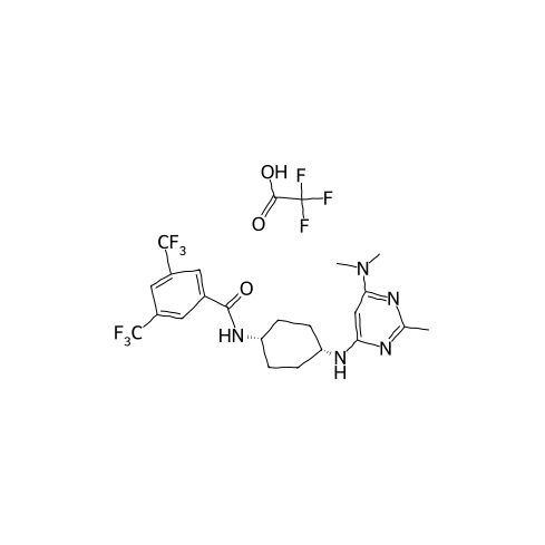 Cc1nc(N[C@H]2CC[C@@H](NC(=O)c3cc(C(F)(F)F)cc(C(F)(F)F)c3)CC2)cc(N(C)C)n1.O=C(O)C(F)(F)F